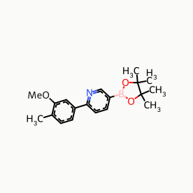 COc1cc(-c2ccc(B3OC(C)(C)C(C)(C)O3)cn2)ccc1C